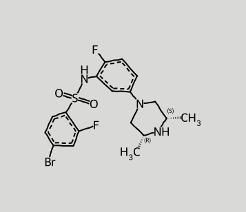 C[C@@H]1CN(c2ccc(F)c(NS(=O)(=O)c3ccc(Br)cc3F)c2)C[C@H](C)N1